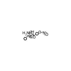 NC(=O)c1c(NC(=O)c2ccc(OCCN3CCOCC3)cc2)ncn1Cc1ccccc1